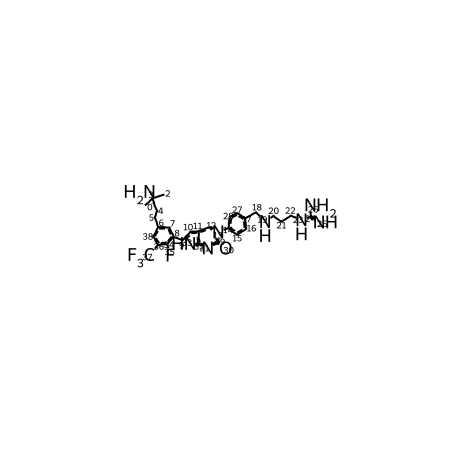 CC(C)(N)CCc1cc(-c2cc3cn(-c4ccc(CNCCCNC(=N)N)cc4)c(=O)nc3[nH]2)c(F)c(C(F)(F)F)c1